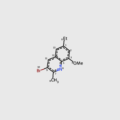 CCc1cc(OC)c2nc(C)c(Br)cc2c1